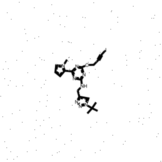 Cn1cccc1-c1nc(NCc2cn(C(C)(C)C)nn2)nc(OCC#CI)n1